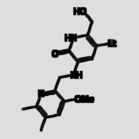 CCc1cc(NCc2nc(C)c(C)cc2OC)c(=O)[nH]c1CO